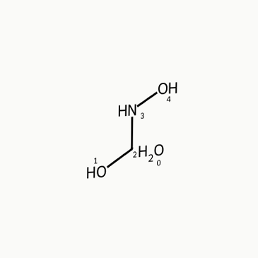 O.OCNO